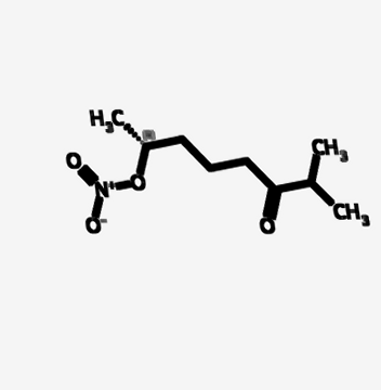 CC(C)C(=O)CCC[C@@H](C)O[N+](=O)[O-]